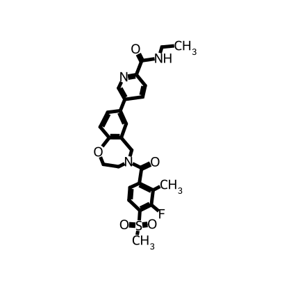 CCNC(=O)c1ccc(-c2ccc3c(c2)CN(C(=O)c2ccc(S(C)(=O)=O)c(F)c2C)CCO3)cn1